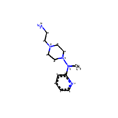 CN(c1ccccn1)N1CCN(CCN)CC1